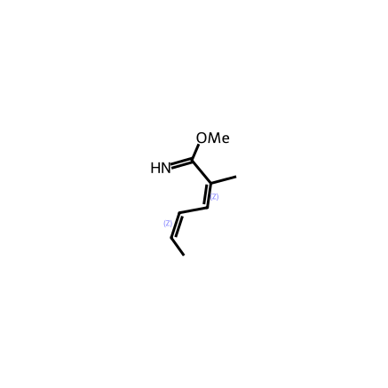 C/C=C\C=C(\C)C(=N)OC